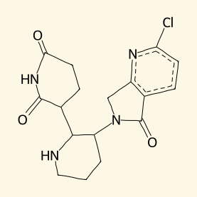 O=C1CCC(C2NCCCC2N2Cc3nc(Cl)ccc3C2=O)C(=O)N1